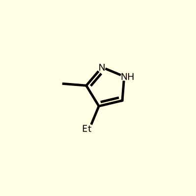 CCc1c[nH]nc1C